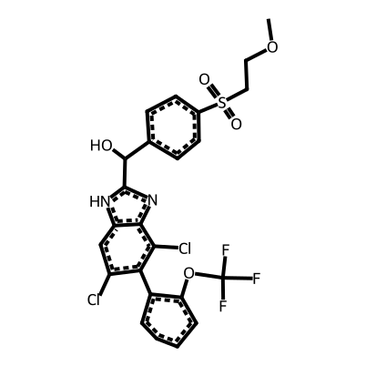 COCCS(=O)(=O)c1ccc(C(O)c2nc3c(Cl)c(-c4ccccc4OC(F)(F)F)c(Cl)cc3[nH]2)cc1